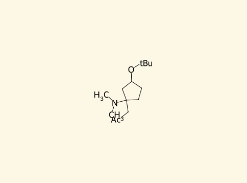 CC(=O)CC1(N(C)C)CCC(OC(C)(C)C)C1